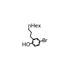 CCCCCCCCCc1cc(Br)ccc1O